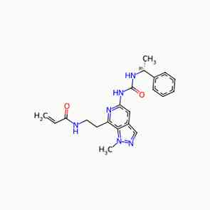 C=CC(=O)NCCc1nc(NC(=O)N[C@H](C)c2ccccc2)cc2cnn(C)c12